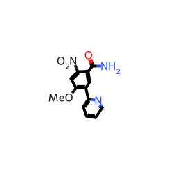 COc1cc([N+](=O)[O-])c(C(N)=O)cc1-c1ccccn1